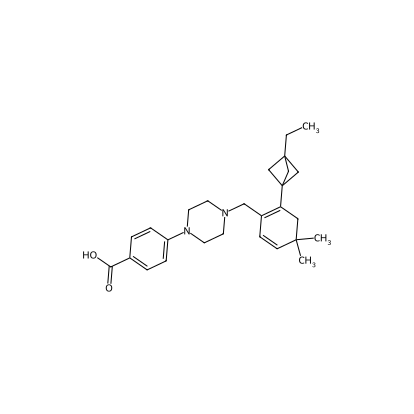 CCC12CC(C3=C(CN4CCN(c5ccc(C(=O)O)cc5)CC4)C=CC(C)(C)C3)(C1)C2